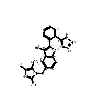 CCOC(=O)c1c(Cl)nc(CC)n1Cc1ccc2oc(-c3ccccc3-c3nnn[nH]3)c(Br)c2c1